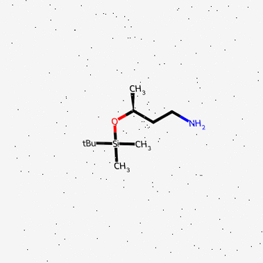 C[C@@H](CCN)O[Si](C)(C)C(C)(C)C